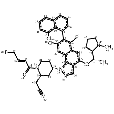 C[C@H](Oc1nc2c(F)c(-c3cccc4cccc(Cl)c34)c(Cl)cc2c2c1cnn2[C@H]1CCN(C(=O)/C=C/CF)[C@H](CC#N)C1)C1CCCN1C